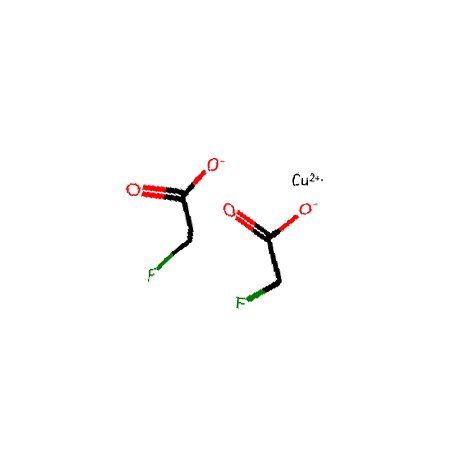 O=C([O-])CF.O=C([O-])CF.[Cu+2]